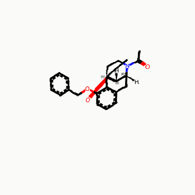 CC(=O)N1CC[C@]23CC(=O)CC[C@H]2[C@H]1Cc1cccc(OCc2ccccc2)c13